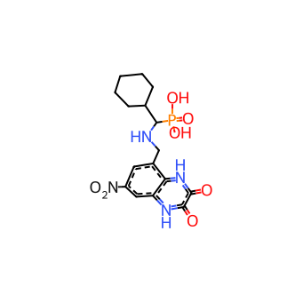 O=c1[nH]c2cc([N+](=O)[O-])cc(CNC(C3CCCCC3)P(=O)(O)O)c2[nH]c1=O